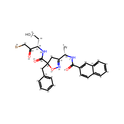 CC(C)[C@H](NC(=O)c1ccc2ccccc2c1)C1=NOC(Cc2ccccc2)(C(=O)N[C@@H](CC(=O)O)C(=O)CBr)C1